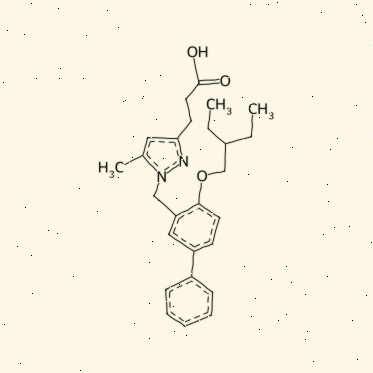 CCC(CC)COc1ccc(-c2ccccc2)cc1Cn1nc(CCC(=O)O)cc1C